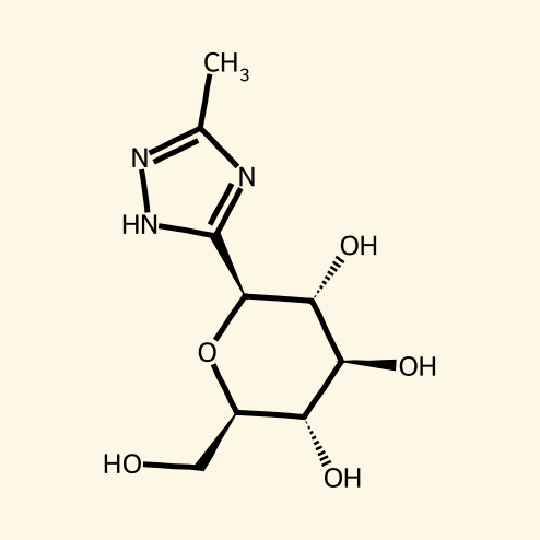 Cc1n[nH]c([C@@H]2O[C@H](CO)[C@@H](O)[C@H](O)[C@H]2O)n1